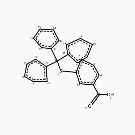 O=C(O)c1cccc(SC(c2ccccc2)(c2ccccc2)c2ccccc2)c1